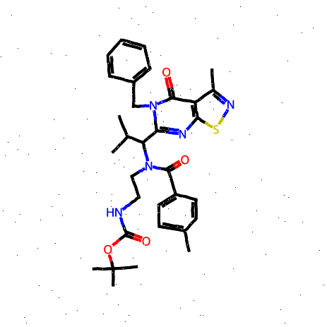 Cc1ccc(C(=O)N(CCNC(=O)OC(C)(C)C)C(c2nc3snc(C)c3c(=O)n2Cc2ccccc2)C(C)C)cc1